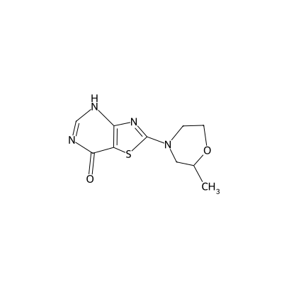 CC1CN(c2nc3[nH]cnc(=O)c3s2)CCO1